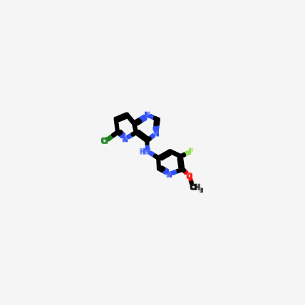 COc1ncc(Nc2ncnc3ccc(Cl)nc23)cc1F